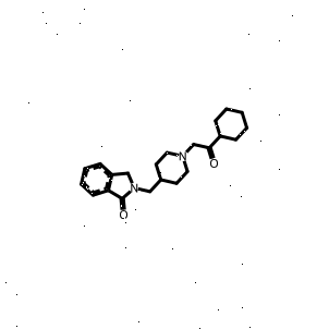 O=C(CN1CCC(CN2Cc3ccccc3C2=O)CC1)C1CCCCC1